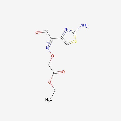 CCOC(=O)CO/N=C(/[C]=O)c1csc(N)n1